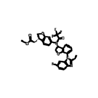 CCc1nc2ccc(F)cc2n1-c1cccc2c1OC[C@@H]2N(C(=O)C(F)(F)F)c1ccc2c(c1)OC[C@H]2CC(=O)OC